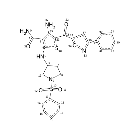 NC(=O)c1c(NC2CCN(S(=O)(=O)c3ccccc3)C2)sc(C(=O)c2cc(-c3ccccc3)no2)c1N